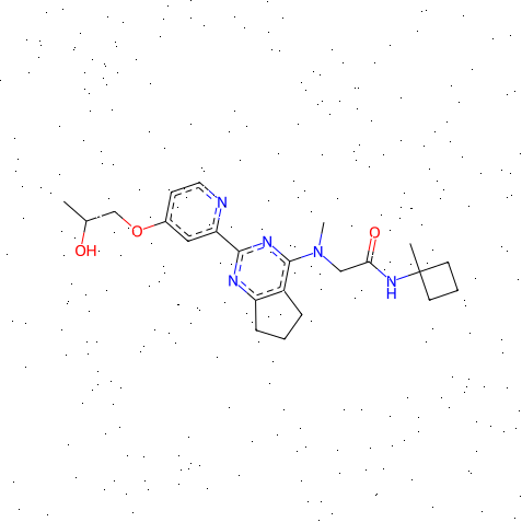 CC(O)COc1ccnc(-c2nc3c(c(N(C)CC(=O)NC4(C)CCC4)n2)CCC3)c1